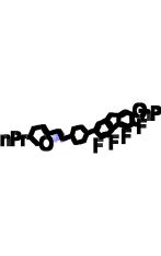 CCCOc1cc2c(c(F)c1F)-c1c(cc(C3CCC(/C=C/C4=CCC(CCC)CO4)CC3)c(F)c1F)C2